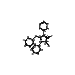 Cn1c(-c2ccccc2)c(Cc2ccccc2)c(-c2ccccc2)[n+]1C